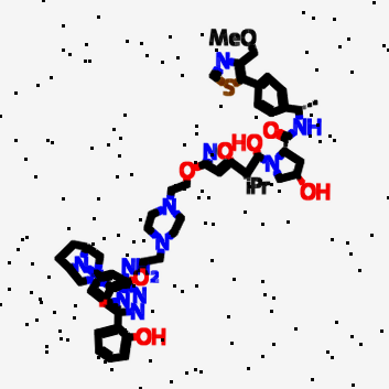 COCc1ncsc1-c1ccc([C@H](C)NC(=O)[C@@H]2C[C@@H](O)CN2C(O)C(c2cc(OCCN3CCN(CCOc4cc(N5C6CCC5CN(c5cc(-c7ccccc7O)nnc5N)C6)ccn4)CC3)no2)C(C)C)cc1